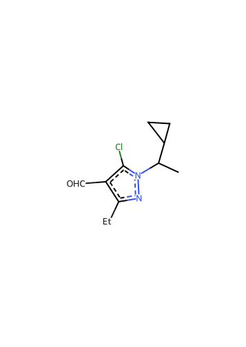 CCc1nn(C(C)C2CC2)c(Cl)c1C=O